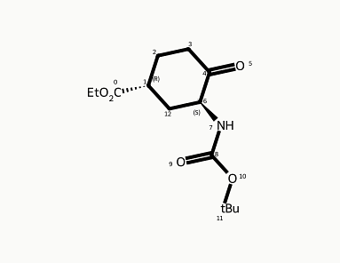 CCOC(=O)[C@@H]1CCC(=O)[C@@H](NC(=O)OC(C)(C)C)C1